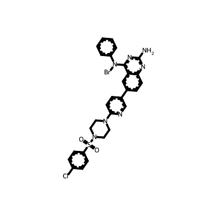 Nc1nc(N(Br)c2ccccc2)c2cc(-c3ccc(N4CCN(S(=O)(=O)c5ccc(Cl)cc5)CC4)nc3)ccc2n1